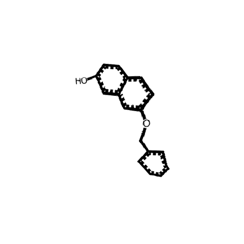 Oc1ccc2ccc(OCc3ccccc3)cc2c1